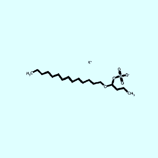 CCCCCCCCCCCCCCOC(CCC)OS(=O)(=O)[O-].[K+]